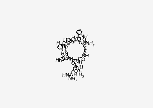 CC(=O)N[C@@H](CCCNC(=N)N)C(=O)N[C@H]1CC(=O)NCCCC[C@@H](C(N)=O)NC(=O)[C@H](Cc2c[nH]c3ccccc23)NC(O)[C@H](C(C)C)NC(=O)[C@@H](Cc2ccccc2)NC(=O)[C@H](Cc2c[nH]cn2)NC1=O